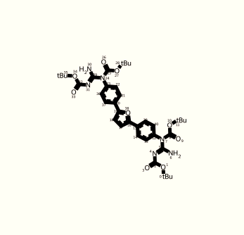 CC(C)(C)OC(=O)N=C(N)N(C(=O)OC(C)(C)C)c1ccc(-c2ccc(-c3ccc(N(C(=O)OC(C)(C)C)C(N)=NC(=O)OC(C)(C)C)cc3)o2)cc1